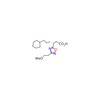 COCCc1noc([C@H](CCCC2CCCCC2)CC(=O)O)n1